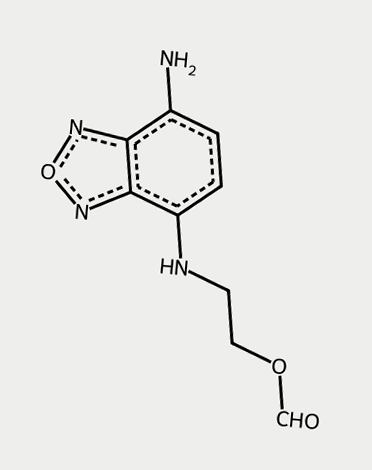 Nc1ccc(NCCOC=O)c2nonc12